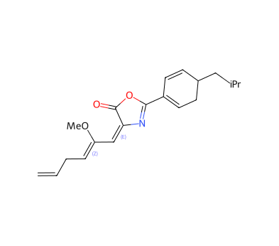 C=CC/C=C(/C=C1/N=C(C2=CCC(CC(C)C)C=C2)OC1=O)OC